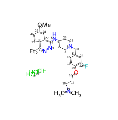 CCc1nnc(NC2CCN(Cc3ccc(OCCCN(C)C)c(F)c3)CC2)c2cc(OC)ccc12.Cl.Cl.Cl